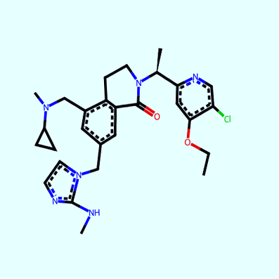 CCOc1cc([C@H](C)N2CCc3c(CN(C)C4CC4)cc(Cn4ccnc4NC)cc3C2=O)ncc1Cl